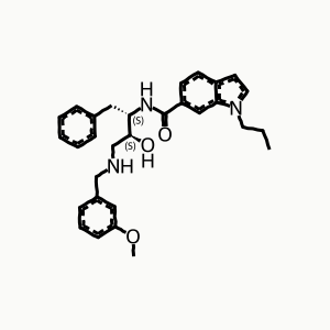 CCCn1ccc2ccc(C(=O)N[C@@H](Cc3ccccc3)[C@@H](O)CNCc3cccc(OC)c3)cc21